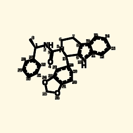 C[C@@H](NC(=O)N1CCc2c([nH]c3ccccc23)[C@H]1c1ccc2c(c1)OCO2)c1ccccc1